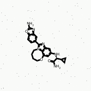 NC(=O)[C@@H](Nc1cc2c3c(c1)nc(-c1ccc4oc(N)nc4c1)n3CCCCO2)C1CC1